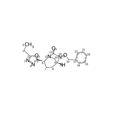 CCc1nnc([C@@H]2CC[C@@H]3CN2C(=O)N3OCc2ccccc2)o1